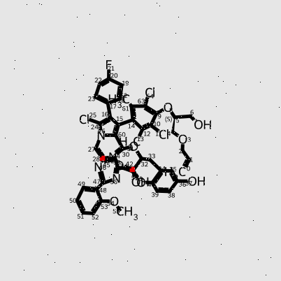 C=CCOC[C@H](CO)Oc1c(Cl)c(C)c(-c2c(-c3ccc(F)cc3)c(Cl)n3ccnc(OC(Cc4cc(O)ccc4OCc4ccnc(-c5ccccc5OC)n4)C(=O)O)c23)c(C)c1Cl